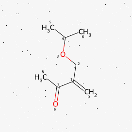 C=C(COC(C)C)C(C)=O